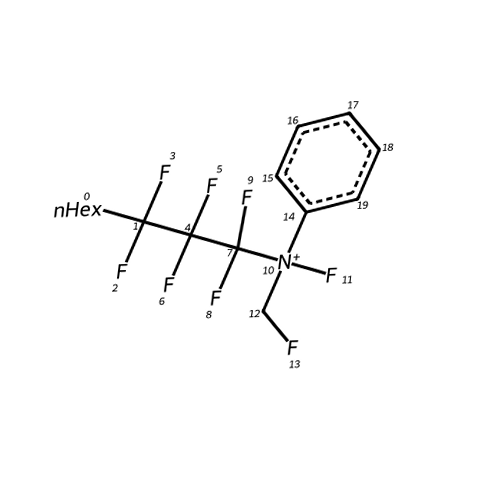 CCCCCCC(F)(F)C(F)(F)C(F)(F)[N+](F)(CF)c1ccccc1